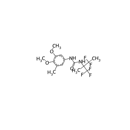 COc1cc(NC(=O)NC(C)(C(C)(F)F)C(F)(F)F)cc(C)c1OC